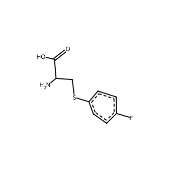 NC(CSc1ccc(F)cc1)C(=O)O